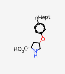 CCCCCCCc1ccc(O[C@@H]2CN[C@H](C(=O)O)C2)cc1